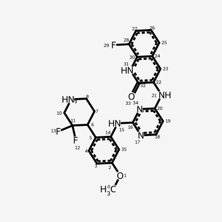 COc1ccc(C2CCNCC2(F)F)c(Nc2nccc(Nc3cc4cccc(F)c4[nH]c3=O)n2)c1